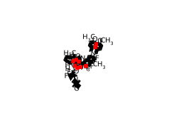 COc1ccc(CN(Cc2ccc(OC)cc2)c2cc(-c3nc4c5c(nc(OCC6(CN7CC8(COC8)C7)CC6(F)F)nc5c3F)N3C[C@H]5CC[C@@H]([C@H]3[C@H](C)O4)N5C(=O)OC(C)(C)C)c(C(F)(F)F)c(C)c2F)cc1